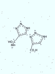 O=C(O)c1c[nH]nn1.O=C(O)c1c[nH]nn1.[Mn]